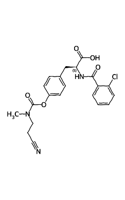 CN(CCC#N)C(=O)Oc1ccc(C[C@H](NC(=O)c2ccccc2Cl)C(=O)O)cc1